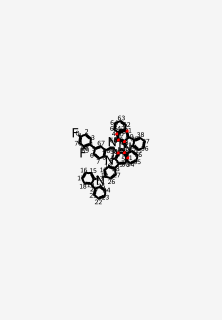 Fc1ccc(-c2ccc(-n3c4cc(-n5c6ccccc6c6ccccc65)ccc4c4ccc(-n5c6ccccc6c6ccccc65)cc43)c(-c3nc(-c4ccccc4)nc(-c4ccccc4)n3)c2)c(F)c1